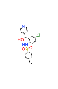 CCc1ccc(S(=O)(=O)Nc2ccc(Cl)cc2C(O)c2ccncc2)cc1